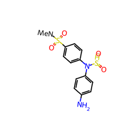 CNS(=O)(=O)c1ccc(N(c2ccc(N)cc2)[SH](=O)=O)cc1